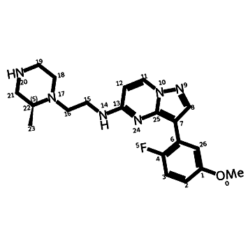 COc1ccc(F)c(-c2cnn3ccc(NCCN4CCNC[C@@H]4C)nc23)c1